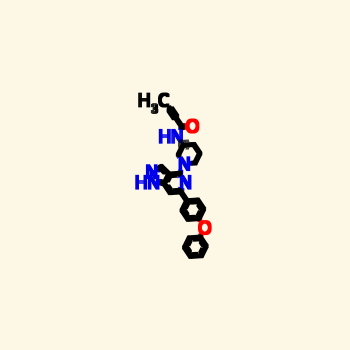 CC#CC(=O)N[C@@H]1CCCN(c2nc(-c3ccc(Oc4ccccc4)cc3)cc3[nH]ncc23)C1